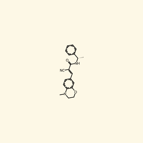 C[C@H](NC(=O)/C(C#N)=C/c1ccc2c(c1)OCCN2C)c1ccccc1